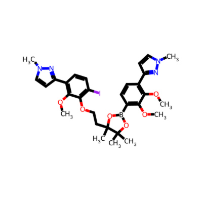 COc1c(B2OC(C)(C)C(C)(CCOc3c(I)ccc(-c4ccn(C)n4)c3OC)O2)ccc(-c2ccn(C)n2)c1OC